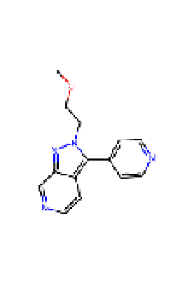 COCCn1nc2cnccc2c1-c1ccncc1